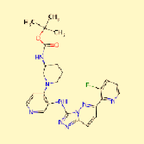 CC(C)(C)OC(=O)N[C@H]1CCCN(c2ccncc2Nc2nnc3ccc(-c4ncccc4F)nn23)C1